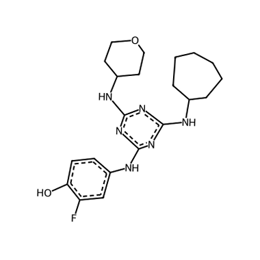 Oc1ccc(Nc2nc(NC3CCCCCC3)nc(NC3CCOCC3)n2)cc1F